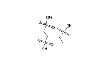 CCS(=O)(=O)O.O=S(=O)(O)CCS(=O)(=O)O